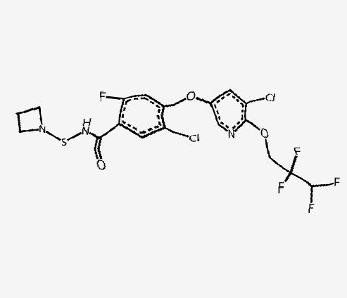 O=C(NSN1CCC1)c1cc(Cl)c(Oc2cnc(OCC(F)(F)C(F)F)c(Cl)c2)cc1F